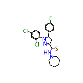 Fc1ccc(C2CC(C(=S)NN3CCCCCC3)=NN2c2ccc(Cl)cc2Cl)cc1